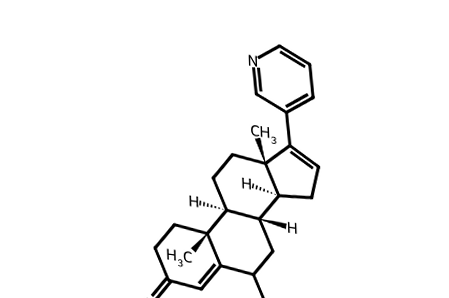 C[C@]12CCC(=O)C=C1C(F)C[C@@H]1[C@@H]2CC[C@]2(C)C(c3cccnc3)=CC[C@@H]12